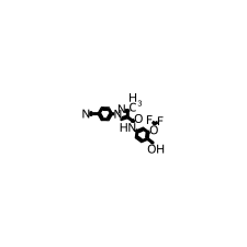 Cc1nn(-c2ccc(C#N)cc2)cc1C(=O)Nc1ccc(CO)c(OC(F)F)c1